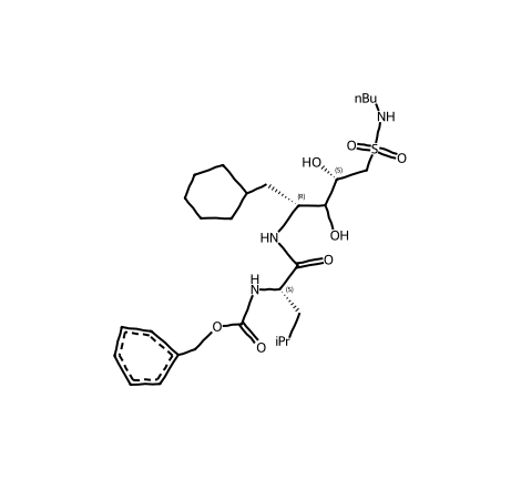 CCCCNS(=O)(=O)C[C@@H](O)C(O)[C@@H](CC1CCCCC1)NC(=O)[C@H](CC(C)C)NC(=O)OCc1ccccc1